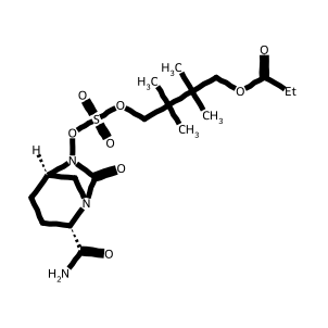 CCC(=O)OCC(C)(C)C(C)(C)COS(=O)(=O)ON1C(=O)N2C[C@H]1CC[C@H]2C(N)=O